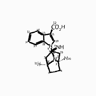 N=CN1[C@@H]2CC[C@H]1C[C@@H](n1cc(C(=O)O)c3ccccc31)C2